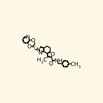 Cc1ccc(CNC(=O)c2oc3c(c2C)-c2nn(C[C@H]4COc5ncccc5O4)cc2CC3)cc1